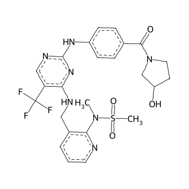 CN(c1ncccc1CNc1nc(Nc2ccc(C(=O)N3CCC(O)C3)cc2)ncc1C(F)(F)F)S(C)(=O)=O